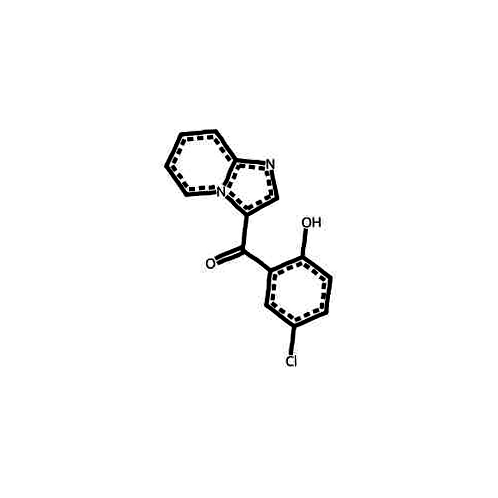 O=C(c1cc(Cl)ccc1O)c1cnc2ccccn12